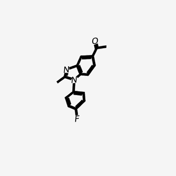 CC(=O)c1ccc2c(c1)nc(C)n2-c1ccc(F)cc1